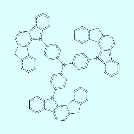 c1ccc2c(c1)Cc1ccc3c4ccccc4n(-c4ccc(N(c5ccc(-n6c7ccccc7c7ccc8c(c76)-c6ccccc6C8)cc5)c5ccc(-n6c7ccccc7c7ccc8c(c76)-c6ccccc6C8)cc5)cc4)c3c1-2